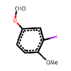 COc1ccc(OC=O)cc1I